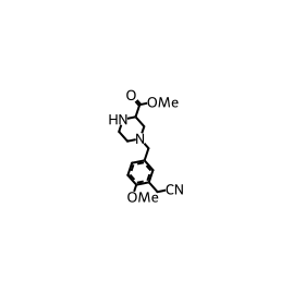 COC(=O)C1CN(Cc2ccc(OC)c(CC#N)c2)CCN1